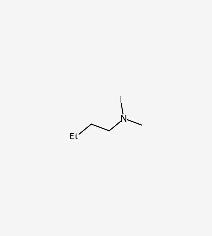 CCCCN(C)I